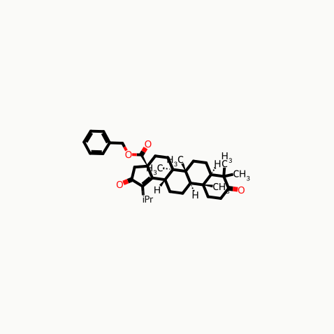 CC(C)C1=C2[C@H]3CC[C@@H]4[C@@]5(C)CCC(=O)C(C)(C)[C@@H]5CC[C@@]4(C)[C@]3(C)CC[C@@]2(C(=O)OCc2ccccc2)CC1=O